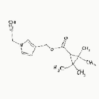 C#CCn1ccc(COC(=O)C2C(C)(C)C2(C)C)c1